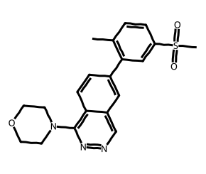 Cc1ccc(S(C)(=O)=O)cc1-c1ccc2c(N3CCOCC3)nncc2c1